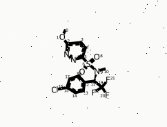 COc1ccc(S(=O)(=O)N(C)[C@H](c2ccc(Cl)cc2)C(F)(F)F)nn1